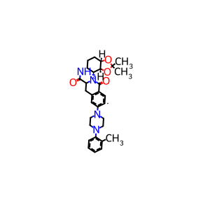 Cc1ccccc1N1CCN(c2[c]cc3c(c2)CC(C(N)=O)N([C@H]2CCC[C@@H]4OC(C)(C)O[C@@H]42)C3=O)CC1